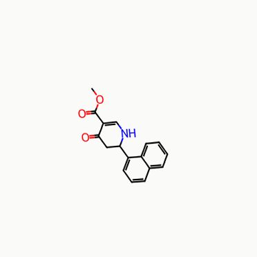 COC(=O)C1=CNC(c2cccc3ccccc23)CC1=O